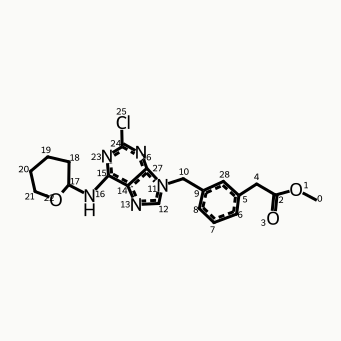 COC(=O)Cc1cccc(Cn2cnc3c(NC4CCCCO4)nc(Cl)nc32)c1